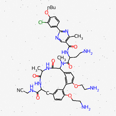 CCCCOc1ccc(-c2ncc(C(=O)NC(CCN)C(=O)N(C)C3C(=O)NC(C)C(=O)NC(C(=O)NCC#N)Cc4ccc(OCCN)c(c4)-c4cc3ccc4OCCN)c(C)n2)cc1Cl